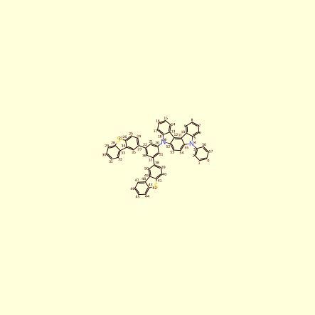 c1ccc(-n2c3ccccc3c3c4c5ccccc5n(-c5cc(-c6ccc7sc8ccccc8c7c6)cc(-c6ccc7sc8ccccc8c7c6)c5)c4ccc32)cc1